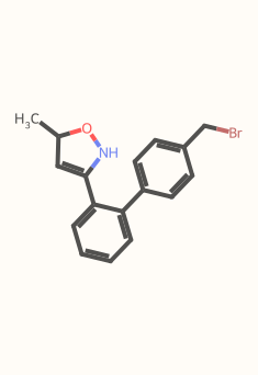 CC1C=C(c2ccccc2-c2ccc(CBr)cc2)NO1